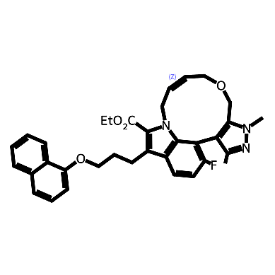 CCOC(=O)c1c(CCCOc2cccc3ccccc23)c2ccc(F)c3c2n1C/C=C\COCc1c-3c(C)nn1C